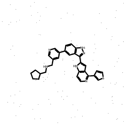 c1cc2[nH]c(-c3n[nH]c4ccc(-c5cncc(CNCC6CCCC6)c5)cc34)cc2c(-c2ccsc2)n1